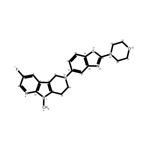 Cn1c2c(c3cc(F)cnc31)CN(c1ccc3sc(N4CCOCC4)nc3c1)CC2